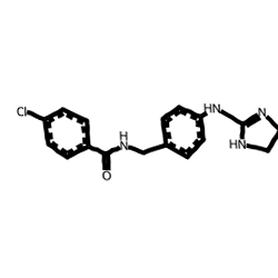 O=C(NCc1ccc(NC2=NCCN2)cc1)c1ccc(Cl)cc1